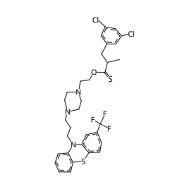 CC(Cc1cc(Cl)cc(Cl)c1)C(=S)OCCN1CCN(CCCN2c3ccccc3Sc3ccc(C(F)(F)F)cc32)CC1